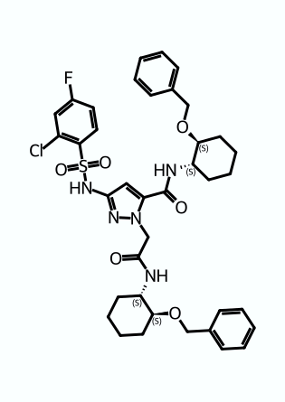 O=C(Cn1nc(NS(=O)(=O)c2ccc(F)cc2Cl)cc1C(=O)N[C@H]1CCCC[C@@H]1OCc1ccccc1)N[C@H]1CCCC[C@@H]1OCc1ccccc1